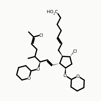 CC(Cl)=CCC(C)[C@@H](C=C[C@@H]1[C@@H](CC=CCCCC(=O)O)[C@H](Cl)C[C@H]1OC1CCCCO1)OC1CCCCO1